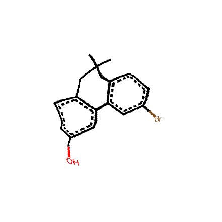 CC1(C)Cc2ccc(O)cc2-c2cc(Br)ccc21